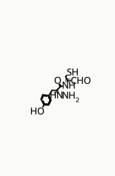 NN[C@@H](Cc1ccc(O)cc1)C(=O)N[C@H](C=O)CS